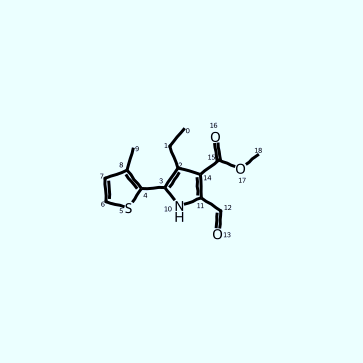 CCc1c(-c2sccc2C)[nH]c(C=O)c1C(=O)OC